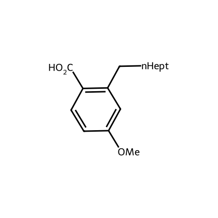 CCCCCCCCc1cc(OC)ccc1C(=O)O